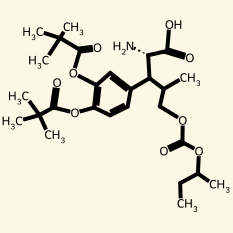 CCC(C)OC(=O)OCC(C)C(c1ccc(OC(=O)C(C)(C)C)c(OC(=O)C(C)(C)C)c1)[C@H](N)C(=O)O